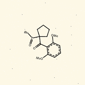 CCC(C)[P](=O)C1(C(=O)c2c(OC)cccc2OC)CCCC1